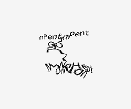 CCCCCCCCCC(CCCCCCC)N(CCCCCC(F)C(=O)OCCC(CCCCC)CCCCC)C(=O)CCCN(C)C